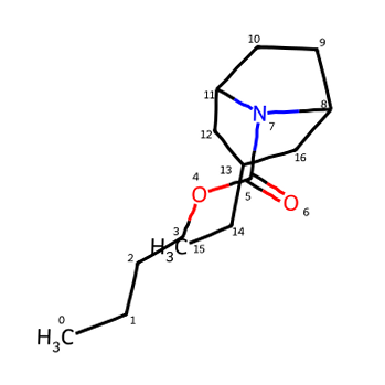 CCCCOC(=O)N1C2CCC1CC(CC)C2